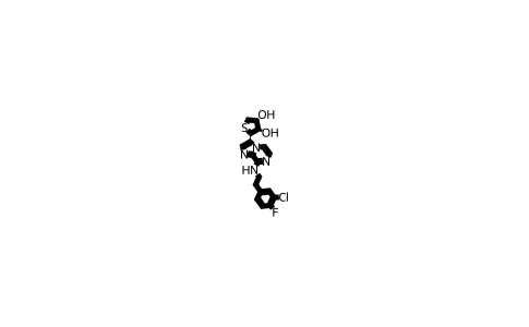 O[C@@H]1[C@H](O)CS[C@H]1c1cnc2c(NCCc3ccc(F)c(Cl)c3)nccn12